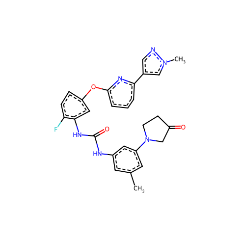 Cc1cc(NC(=O)Nc2cc(Oc3cccc(-c4cnn(C)c4)n3)ccc2F)cc(N2CCC(=O)C2)c1